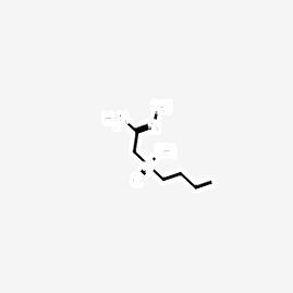 CCCCP(=O)(O)CC(N)=NO